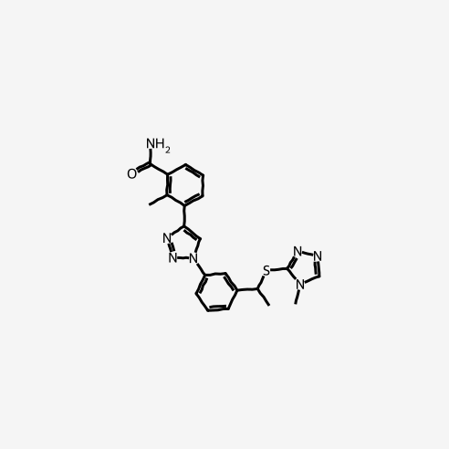 Cc1c(C(N)=O)cccc1-c1cn(-c2cccc(C(C)Sc3nncn3C)c2)nn1